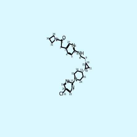 O=C(Cc1ccc(NCC[C@@H]2C[C@@H]2C2CCN(c3ncc(Cl)cn3)CC2)nc1)N1CCC1